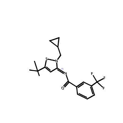 CC(C)(C)c1c/c(=N\C(=O)c2cccc(C(F)(F)F)c2)n(CC2CC2)s1